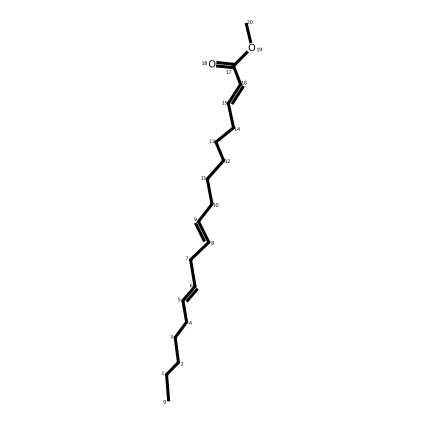 CCCCCC=CCC=CCCCCCC=CC(=O)OC